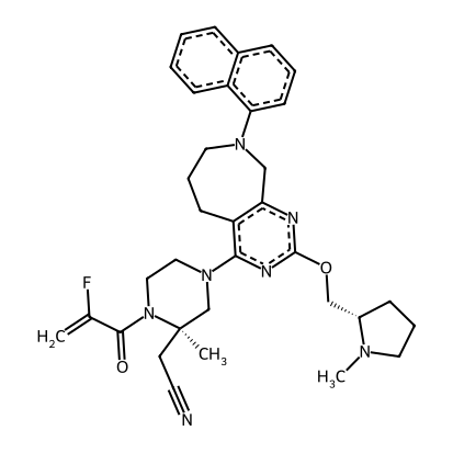 C=C(F)C(=O)N1CCN(c2nc(OC[C@@H]3CCCN3C)nc3c2CCCN(c2cccc4ccccc24)C3)C[C@@]1(C)CC#N